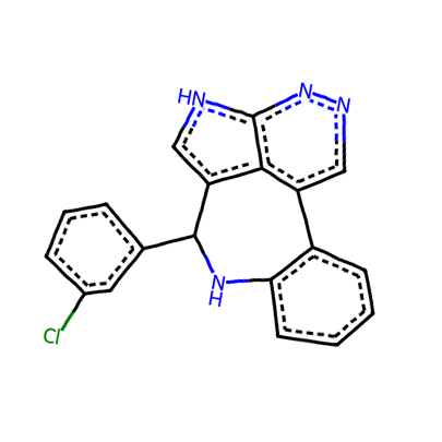 Clc1cccc(C2Nc3ccccc3-c3cnnc4[nH]cc2c34)c1